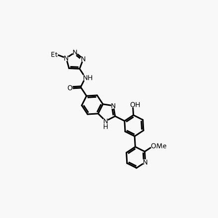 CCn1cc(NC(=O)c2ccc3[nH]c(-c4cc(-c5cccnc5OC)ccc4O)nc3c2)nn1